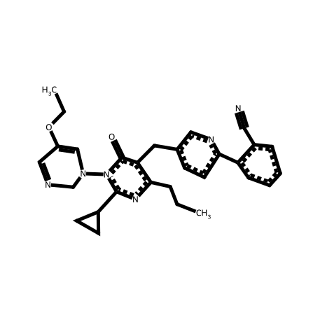 CCCc1nc(C2CC2)n(N2C=C(OCC)C=NC2)c(=O)c1Cc1ccc(-c2ccccc2C#N)nc1